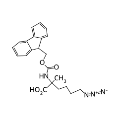 CC(CCCCN=[N+]=[N-])(NC(=O)OCC1c2ccccc2-c2ccccc21)C(=O)O